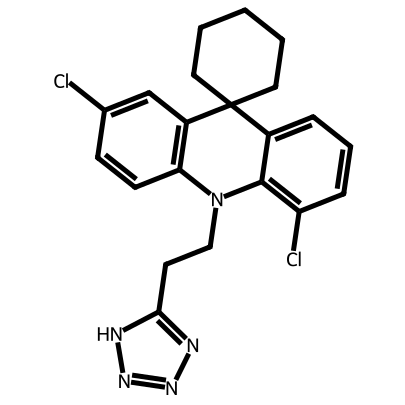 Clc1ccc2c(c1)C1(CCCCC1)c1cccc(Cl)c1N2CCc1nnn[nH]1